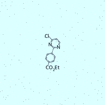 CCOC(=O)c1ccc(-c2nccc(Cl)n2)cc1